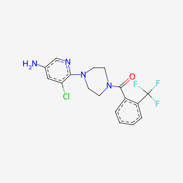 Nc1cnc(N2CCN(C(=O)c3ccccc3C(F)(F)F)CC2)c(Cl)c1